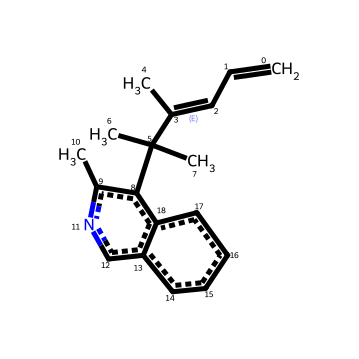 C=C/C=C(\C)C(C)(C)c1c(C)ncc2ccccc12